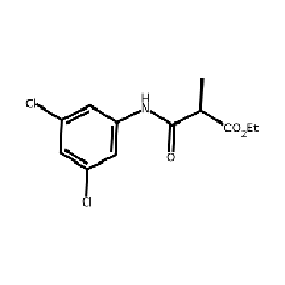 CCOC(=O)C(C)C(=O)Nc1cc(Cl)cc(Cl)c1